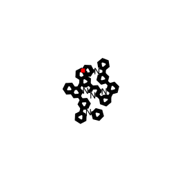 c1ccc(-n2c3ccccc3c3cc(-c4cccc5c6cccc7c8nc9c(cc8n(c45)c67)c4cc5ccccc5c5c6c7ccccc7cc(-c7ccc8c(c7)c7ccccc7n8-c7ccccc7)c6n9c45)ccc32)cc1